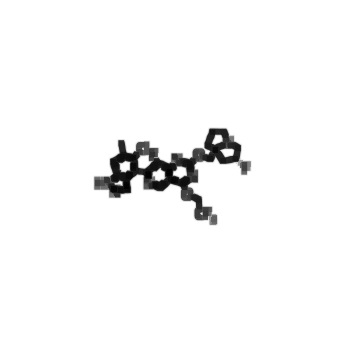 Cc1cc2[nH]ncc2c(-c2ncc3c(OCC(F)(F)F)nc(OC[C@@]45CCCN4C[C@H](F)C5)nc3c2F)c1Cl